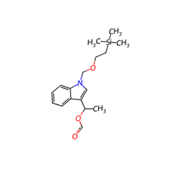 CC(OC=O)c1cn(COCC[Si](C)(C)C)c2ccccc12